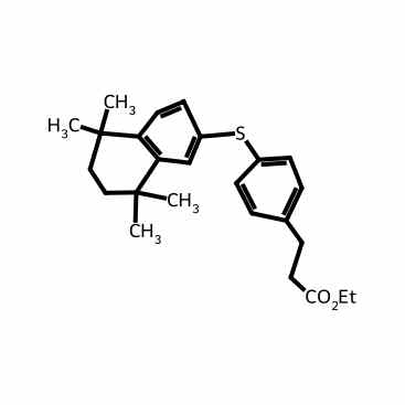 CCOC(=O)CCc1ccc(Sc2ccc3c(c2)C(C)(C)CCC3(C)C)cc1